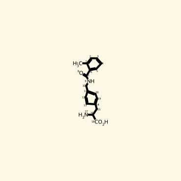 Cc1ccccc1C(=O)NCc1ccc(CC(N)C(=O)O)cc1